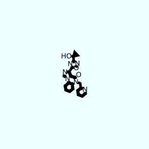 O=c1c2c(-c3nc(C4(O)CC4)no3)ncn2c2ccccc2n1Cc1ccccn1